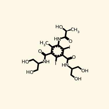 Cc1c(NC(=O)[C@H](C)O)c(I)c(C(=O)NC(CO)CO)c(I)c1C(=O)NC(CO)CO